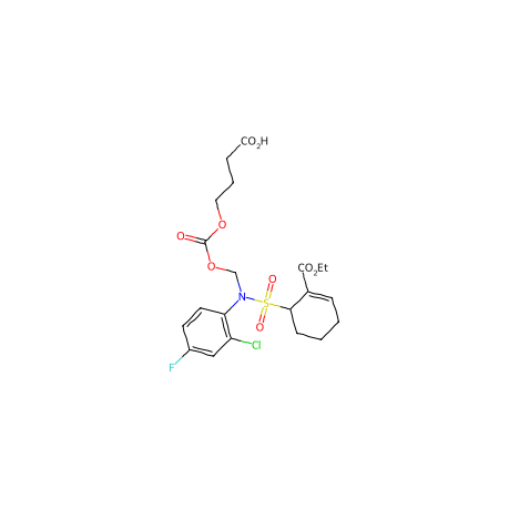 CCOC(=O)C1=CCCCC1S(=O)(=O)N(COC(=O)OCCCC(=O)O)c1ccc(F)cc1Cl